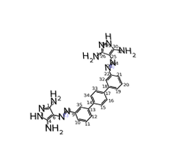 Nc1n[nH]c(N)c1/N=N/c1cccc(-c2ccc(-c3cccc(/N=N/c4c(N)n[nH]c4N)c3)cc2)c1